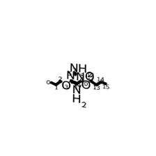 CCCOc1nc(N)nc(OC(=O)CCC)c1N